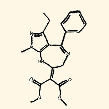 CCc1nn(C)c2c1C(c1ccccc1)=NCC(=C(C(=O)OC)C(=O)OC)N2